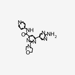 Nc1ncc(-c2cc(C(=O)Nc3ccncc3)nc(N3CCOCC3)n2)cn1